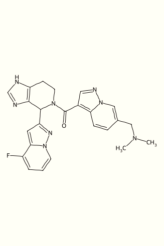 CN(C)Cc1ccc2c(C(=O)N3CCc4[nH]cnc4C3c3cc4c(F)cccn4n3)cnn2c1